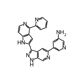 Nc1cncc(-c2cc3c(-c4cc5c(-c6ccccn6)nccc5[nH]4)n[nH]c3cn2)c1